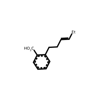 CCC=CCCc1ccccc1C(=O)O